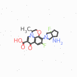 C[C@H]1COc2c(N3CC4(F)CCC[C@@]4(N)C3)c(F)cc3c(=O)c(C(=O)O)cn1c23